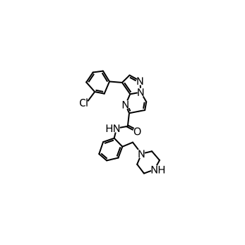 O=C(Nc1ccccc1CN1CCNCC1)c1ccn2ncc(-c3cccc(Cl)c3)c2n1